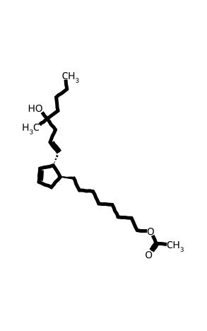 CCCCC(C)(O)C/C=C/[C@H]1C=CC[C@@H]1CCCCCCCCOC(C)=O